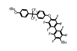 CC(C)(C)Oc1ccc(C(c2ccc(Oc3c(F)c(F)c(-c4c(F)c(F)c(C(C)(C)C)c(F)c4F)c(F)c3F)cc2)(C(F)(F)F)C(F)(F)F)cc1